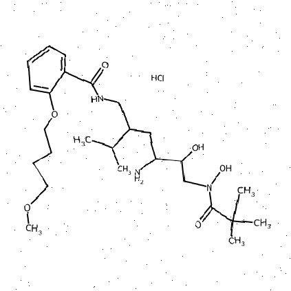 COCCCCOc1ccccc1C(=O)NCC(CC(N)C(O)CN(O)C(=O)C(C)(C)C)C(C)C.Cl